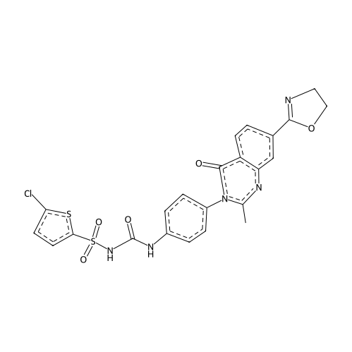 Cc1nc2cc(C3=NCCO3)ccc2c(=O)n1-c1ccc(NC(=O)NS(=O)(=O)c2ccc(Cl)s2)cc1